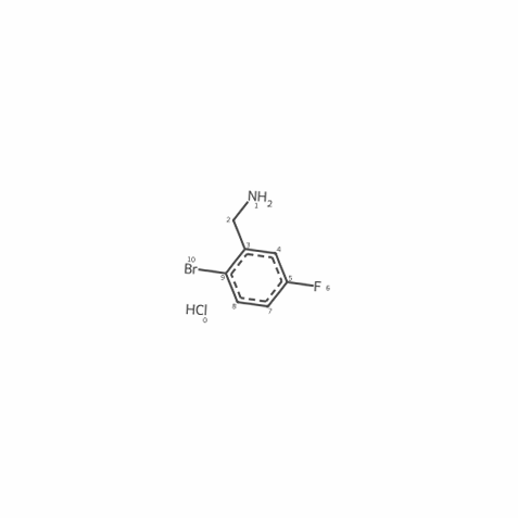 Cl.NCc1cc(F)ccc1Br